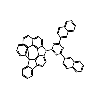 c1ccc(C23c4ccccc4-c4ccc5c(c42)c2c4c3cccc4ccc2n5-c2nc(-c3ccc4ccccc4c3)nc(-c3ccc4ccccc4c3)n2)cc1